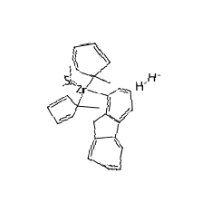 C[Si](C)=[Zr]([c]1cccc2c1Cc1ccccc1-2)([C]1(C)C=CC=C1)[C]1(C)C=CC=C1.[H-].[H-]